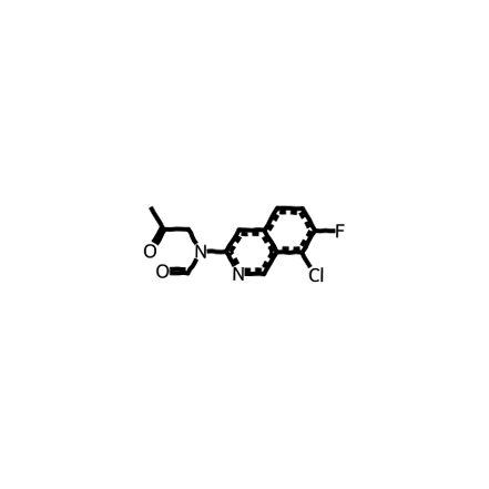 CC(=O)CN(C=O)c1cc2ccc(F)c(Cl)c2cn1